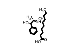 CCCCCCCCCC(=O)O.CN[C@@H](C)[C@H](O)c1ccccc1